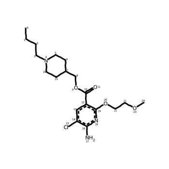 CCCCN1CCC(COC(=O)c2cc(Cl)c(N)nc2OCCOC)CC1